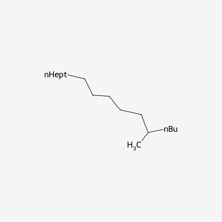 [CH2]CCCCCCCCCCCC(C)CCCC